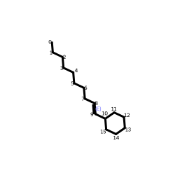 CCCCCCCC/C=C/C1CCCCC1